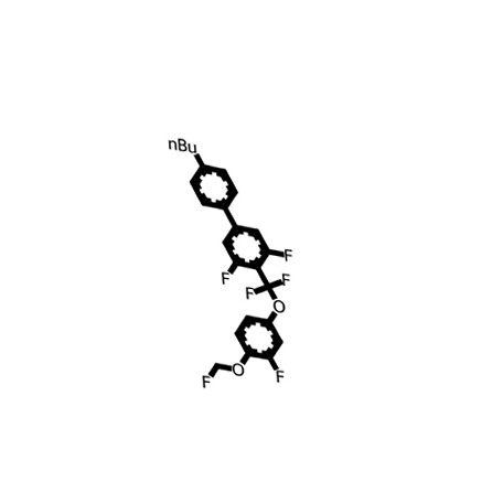 CCCCc1ccc(-c2cc(F)c(C(F)(F)Oc3ccc(OCF)c(F)c3)c(F)c2)cc1